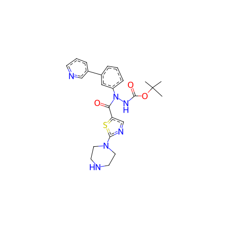 CC(C)(C)OC(=O)NN(C(=O)c1cnc(N2CCNCC2)s1)c1cccc(-c2cccnc2)c1